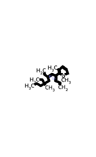 C=C/C=C(/C=C(/C=C)CC(C)(CC)CCC)C1=C(C)C=CCN1C